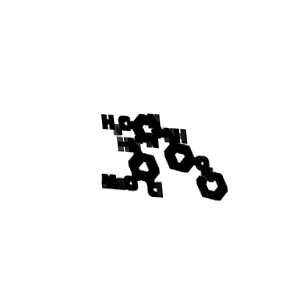 COc1cc(Nc2nc(Nc3cccc(ON4CCCCC4)c3)ncc2C)ccc1Cl